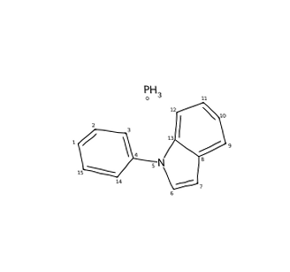 P.c1ccc(-n2ccc3ccccc32)cc1